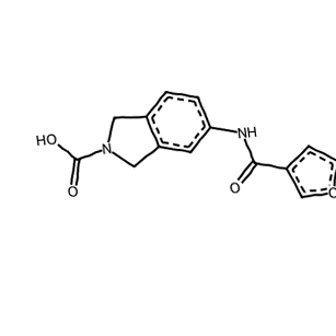 O=C(Nc1ccc2c(c1)CN(C(=O)O)C2)c1ccoc1